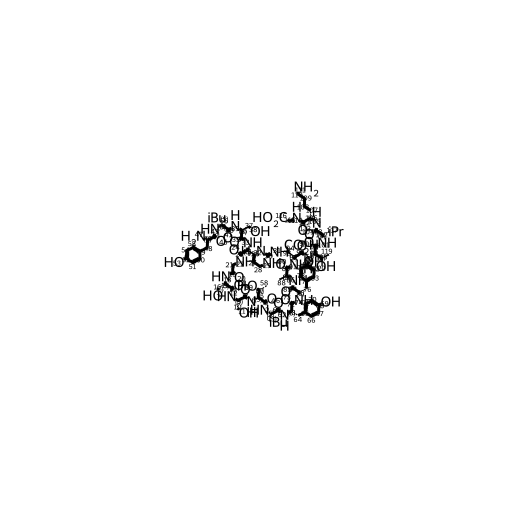 CC[C@H](C)[C@H](NC(=O)[C@@H](NC(=O)[C@H](CO)NC(=O)[C@H](CO)NC(=O)CNC(=O)[C@H](CCCNC(=N)N)NC(=O)[C@H](CO)NC(=O)[C@@H](NC(=O)[C@@H](N)Cc1ccc(O)cc1)[C@@H](C)CC)[C@@H](C)O)C(=O)N[C@@H](Cc1ccc(O)cc1)C(=O)N[C@@H](Cc1ccc(O)cc1)C(=O)N[C@@H](C)C(=O)N[C@@H](CC(=O)O)C(=O)N[C@H](C(=O)N[C@H](C(=O)N[C@@H](CCCCN)C(=O)NCC(=O)O)C(C)C)[C@@H](C)O